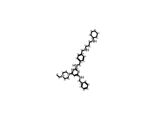 CCN1CCN(c2cc(NCc3ccccc3)nc(NCc3ccc(CNCCCNC4CCCCC4)cc3)n2)CC1